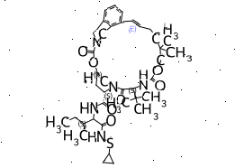 CC[C@H](C)C(NC(=O)[C@@H]1C[C@@H]2CN1C(=O)[C@H](C(C)(C)C)NC(=O)OCC(C)(C)CC/C=C/c1cccc3c1CN(C3)C(=O)O2)C(=O)NSC1CC1